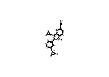 N#Cc1ccc2c(n1)N(C1CC1)C(c1cnnc(C3CC3)c1)N2